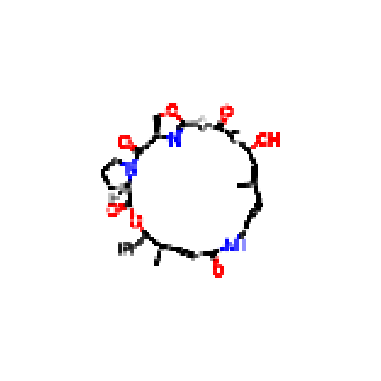 CC1=C\[C@@H](O)CC(=O)Cc2nc(co2)C(=O)N2CCC[C@@H]2C(=O)OC(C(C)C)C(C)/C=C/C(=O)NC\C=C\1